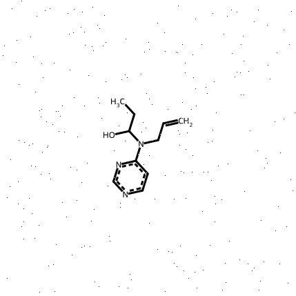 C=CCN(c1ccncn1)C(O)CC